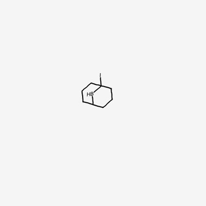 IC12BC(CCC1)CCC2